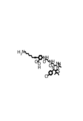 Cc1sc2c(c1C)C(c1ccc(Cl)cc1)=N[C@@H](CC(=O)NCCC(=O)Nc1ccc(C#CCCCCCCN)c(C(=O)O)c1)c1nnc(C)n1-2